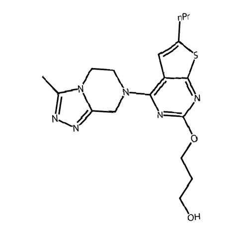 CCCc1cc2c(N3CCn4c(C)nnc4C3)nc(OCCCO)nc2s1